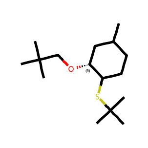 CC1CCC(SC(C)(C)C)[C@H](OCC(C)(C)C)C1